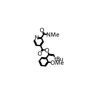 CNC(=O)c1cc(C(=O)OC(=CC(C)(C)C)c2ccccc2OC)ccn1